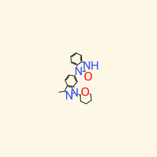 Cc1nn(C2CCCCO2)c2cc(-n3c(=O)[nH]c4ccccc43)ccc12